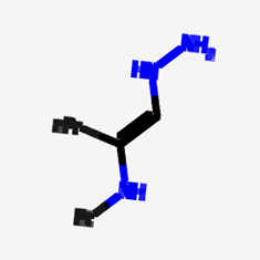 CCC/C(=C\NN)NCC